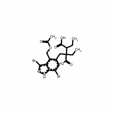 CCC(C(=O)O)C(CC)(Cc1cc(Br)c2[nH]nc(Br)c2c1COC(C)=O)C(=O)O